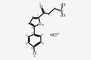 CCN(CC)CCC(=O)c1ccc(-c2ccc(Cl)cc2)o1.Cl